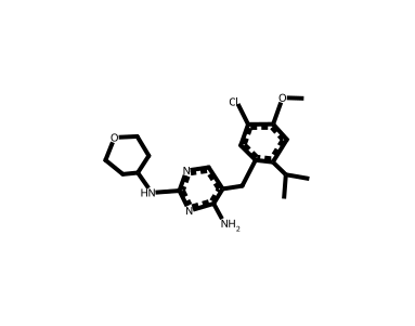 COc1cc(C(C)C)c(Cc2cnc(NC3CCOCC3)nc2N)cc1Cl